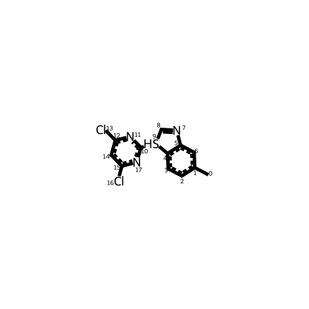 Cc1ccc2c(c1)N=C[SH]2c1nc(Cl)cc(Cl)n1